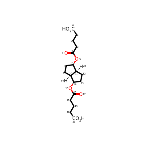 O=C(O)CCCC(=O)O[C@@H]1CC[C@H]2[C@@H]1CC[C@H]2OC(=O)CCCC(=O)O